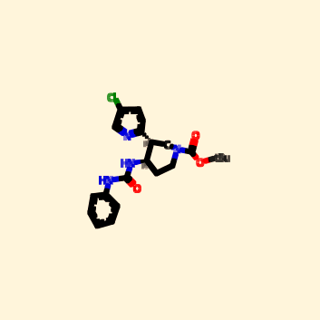 CC(C)(C)OC(=O)N1CC[C@@H](NC(=O)Nc2ccccc2)[C@H](c2ccc(Cl)cn2)C1